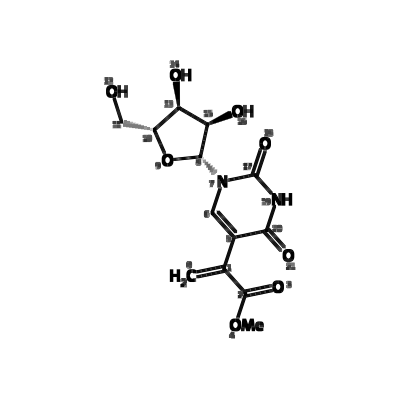 C=C(C(=O)OC)c1cn([C@@H]2O[C@H](CO)[C@@H](O)[C@H]2O)c(=O)[nH]c1=O